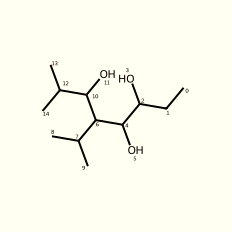 CCC(O)C(O)C(C(C)C)C(O)C(C)C